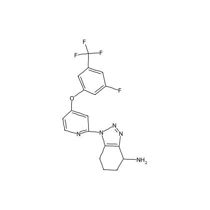 NC1CCCc2c1nnn2-c1cc(Oc2cc(F)cc(C(F)(F)F)c2)ccn1